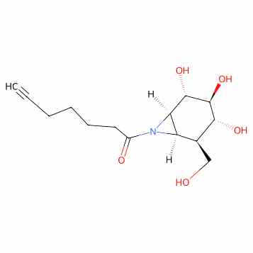 C#CCCCCC(=O)N1[C@@H]2[C@H](CO)[C@@H](O)[C@H](O)[C@@H](O)[C@@H]21